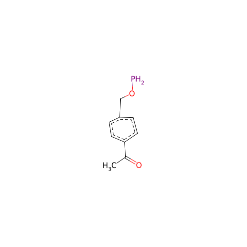 CC(=O)c1ccc(COP)cc1